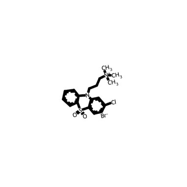 C[N+](C)(C)CCCN1c2ccccc2S(=O)(=O)c2ccc(Cl)cc21.[Br-]